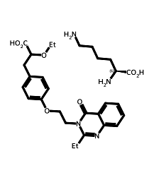 CCOC(Cc1ccc(OCCn2c(CC)nc3ccccc3c2=O)cc1)C(=O)O.NCCCC[C@H](N)C(=O)O